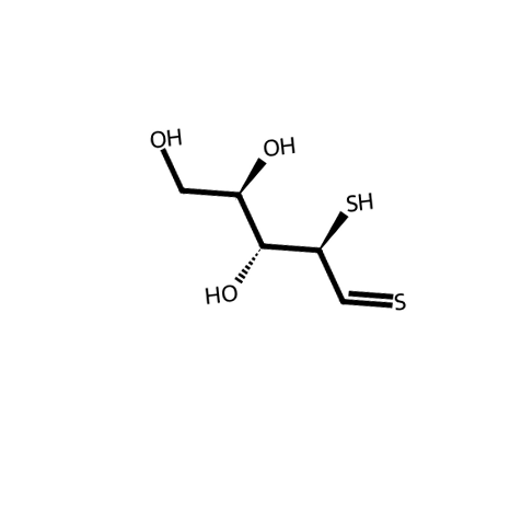 OC[C@@H](O)[C@@H](O)[C@@H](S)C=S